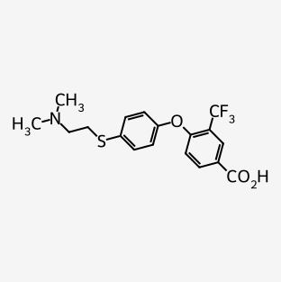 CN(C)CCSc1ccc(Oc2ccc(C(=O)O)cc2C(F)(F)F)cc1